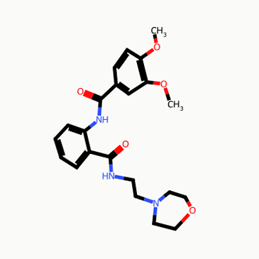 COc1ccc(C(=O)Nc2ccccc2C(=O)NCCN2CCOCC2)cc1OC